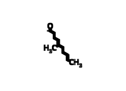 C/C=C/CC/C(C)=C/CC[C]=O